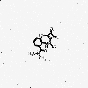 CCNc1c(Nc2cccc(C(=O)N(C)C)c2O)c(=O)c1=O